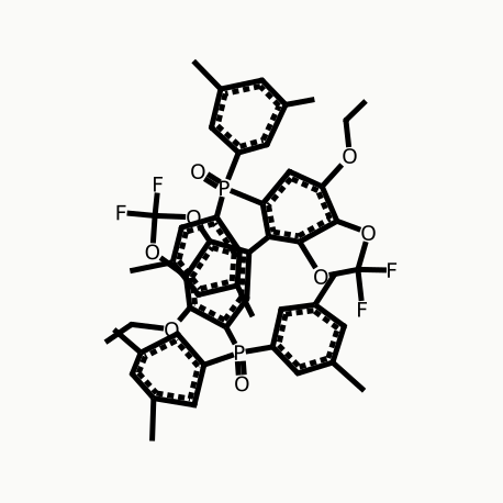 CCOc1cc(P(=O)(c2cc(C)cc(C)c2)c2cc(C)cc(C)c2)c(-c2cc(P(=O)(c3cc(C)cc(C)c3)c3cc(C)cc(C)c3)c(OCC)c3c2OC(F)(F)O3)c2c1OC(F)(F)O2